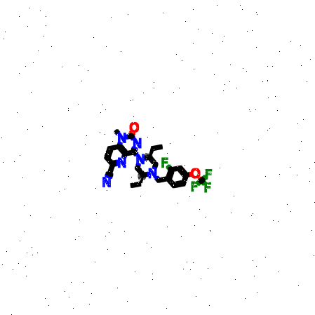 CC[C@@H]1CN(c2nc(=O)n(C)c3ccc(C#N)nc23)[C@@H](CC)CN1Cc1ccc(OC(F)(F)F)cc1F